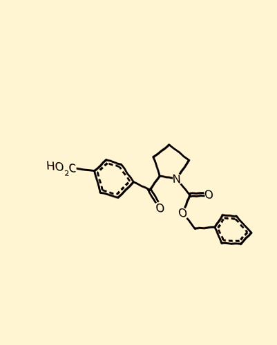 O=C(O)c1ccc(C(=O)C2CCCN2C(=O)OCc2ccccc2)cc1